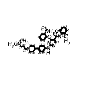 CCOc1ccccc1Oc1nc(Nc2ccc(C3CCN(CCCN(C)C)CC3)cc2)ncc1C(=O)Nc1c(C)cccc1C